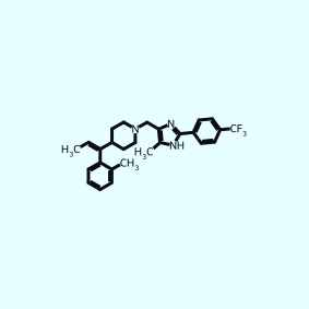 C/C=C(\c1ccccc1C)C1CCN(Cc2nc(-c3ccc(C(F)(F)F)cc3)[nH]c2C)CC1